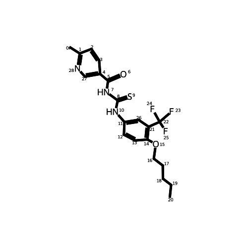 [CH2]c1ccc(C(=O)NC(=S)Nc2ccc(OCCCCC)c(C(F)(F)F)c2)cn1